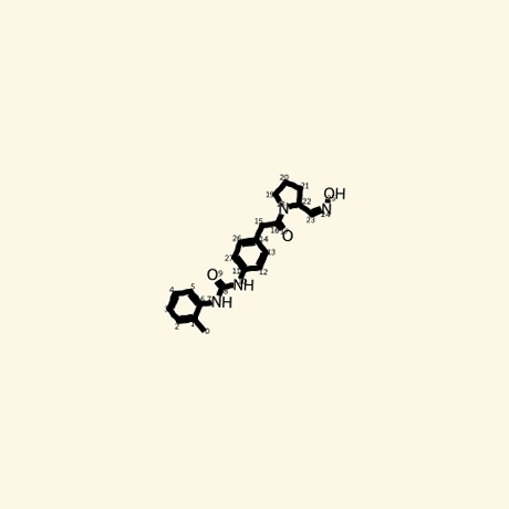 Cc1ccccc1NC(=O)Nc1ccc(CC(=O)N2CCCC2/C=N\O)cc1